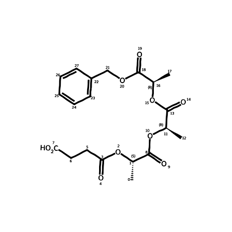 C[C@H](OC(=O)CCC(=O)O)C(=O)O[C@H](C)C(=O)O[C@H](C)C(=O)OCc1ccccc1